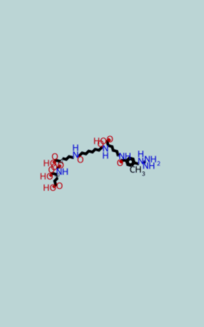 Cc1cc(C(=O)NCCCCC(NC(=O)CCCCCCC(=O)NCCCC[C@H](OC(=O)N[C@@H](CCC(=O)O)C(=O)O)C(=O)O)C(=O)O)ccc1CNC(=N)N